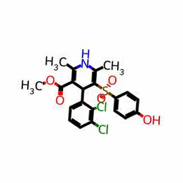 COC(=O)C1=C(C)NC(C)=C(S(=O)(=O)c2ccc(O)cc2)C1c1cccc(Cl)c1Cl